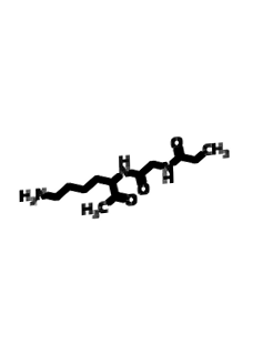 CCC(=O)NCC(=O)NC(CCCCN)C(C)=O